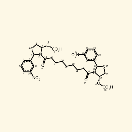 O=C(O)O[C@@H]1CSC(c2cccc([N+](=O)[O-])c2)N1C(=O)CCCCCCCC(=O)N1C(c2cccc([N+](=O)[O-])c2)SC[C@H]1OC(=O)O